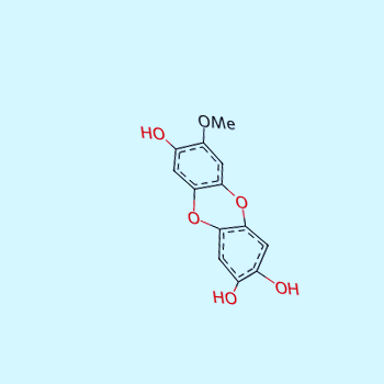 COc1cc2c(cc1O)Oc1cc(O)c(O)cc1O2